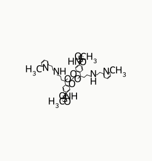 Cc1cccc(CCNCCCC(OC(=O)C(=O)OC(CCCNCCc2cccc(C)n2)c2ccc(NS(C)(=O)=O)cc2)c2ccc(NS(C)(=O)=O)cc2)n1